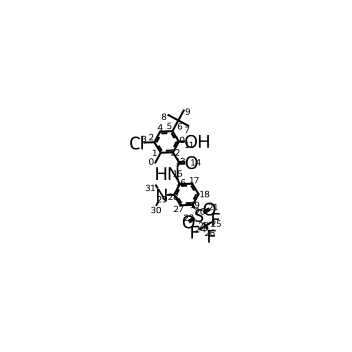 Cc1c(Cl)cc(C(C)(C)C)c(O)c1C(=O)Nc1ccc(S(=O)(=O)C(F)(F)F)cc1N(C)C